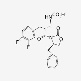 O=C(O)NC[C@@H](Cc1ccc(F)c(F)c1)C(=O)N1C(=O)OC[C@H]1Cc1ccccc1